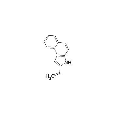 C=[C]c1cc2c(ccc3ccccc32)[nH]1